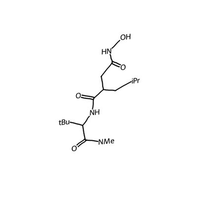 CNC(=O)C(NC(=O)C(CC(=O)NO)CC(C)C)C(C)(C)C